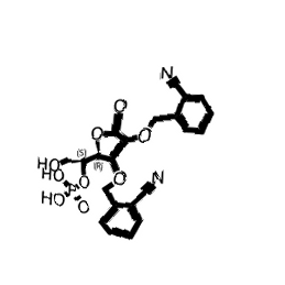 N#Cc1ccccc1COC1=C(OCc2ccccc2C#N)[C@@H]([C@H](CO)OP(=O)(O)O)OC1=O